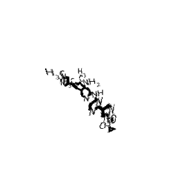 CCC(C)C1(N)CC(Nc2ccnc(-c3cnn(S(=O)(=O)C4CC4)c3)n2)=NC=C1C#Cc1cnn(C)c1